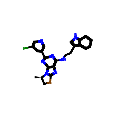 C[C@H]1CSc2nc3c(NCCc4c[nH]c5ccccc45)nc(-c4cncc(F)c4)nc3n21